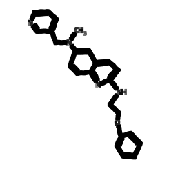 CN(Cc1cccnc1)c1ccc2nc(NCCOc3ccccc3)ccc2c1